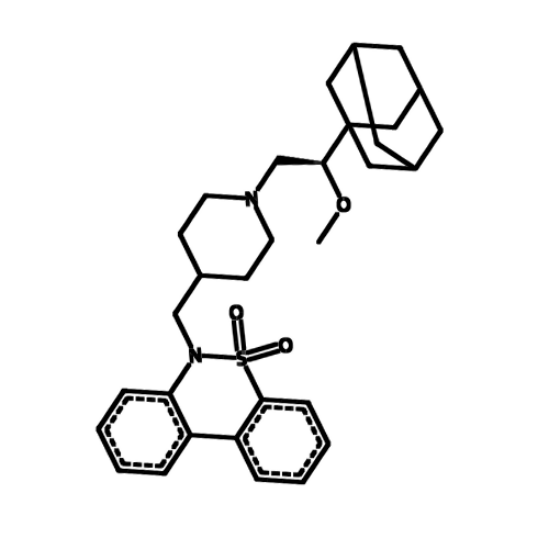 CO[C@@H](CN1CCC(CN2c3ccccc3-c3ccccc3S2(=O)=O)CC1)C12CC3CC(CC(C3)C1)C2